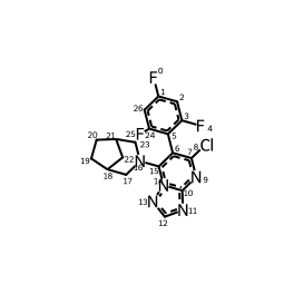 Fc1cc(F)c(-c2c(Cl)nc3ncnn3c2N2CC3CCC(C3)C2)c(F)c1